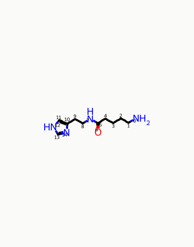 NCCCCC(=O)NCCc1c[nH]cn1